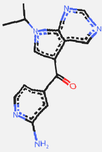 CC(C)n1cc(C(=O)c2ccnc(N)c2)c2cncnc21